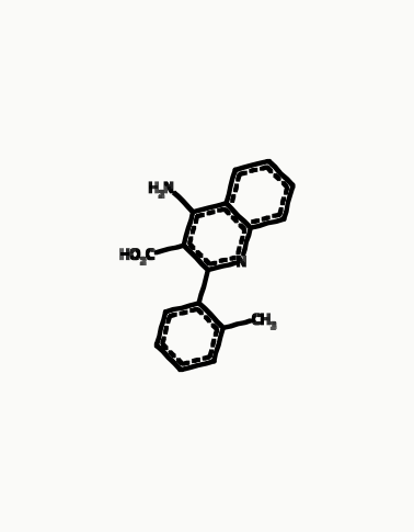 Cc1ccccc1-c1nc2ccccc2c(N)c1C(=O)O